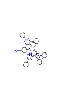 N#Cc1cc(-c2cc(-c3ccccc3)nc(-c3ccccc3)n2)c(-n2c3ccccc3c3cc(-n4c5ccccc5c5ccccc54)ccc32)c(-c2cc(-c3ccccc3)nc(-c3ccccc3)n2)c1